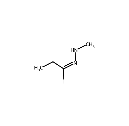 CC/C(I)=N\NC